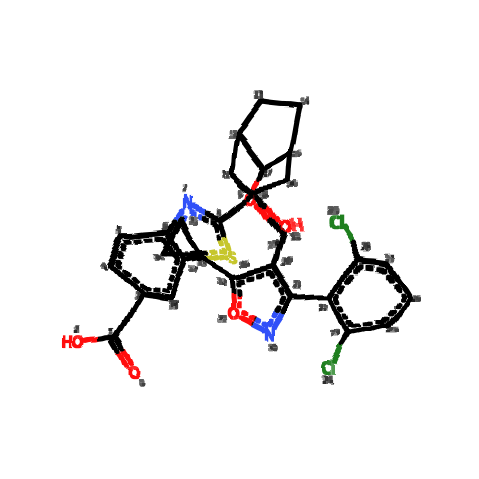 O=C(O)c1ccc2nc(C3(O)CC4CCC(C3)C4OCc3c(-c4c(Cl)cccc4Cl)noc3C3CC3)sc2c1